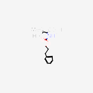 COC(C)C(NC(=O)OCCCc1ccccc1)C(=O)O